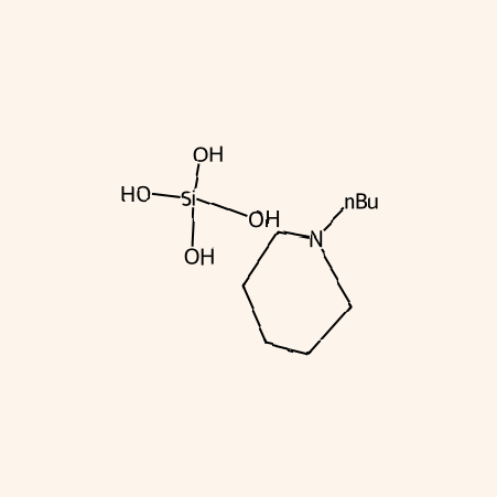 CCCCN1CCCCC1.O[Si](O)(O)O